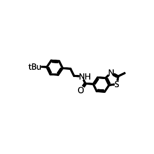 Cc1nc2cc(C(=O)NCCc3ccc(C(C)(C)C)cc3)ccc2s1